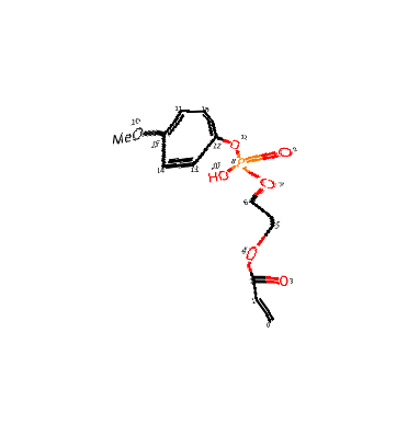 C=CC(=O)OCCOP(=O)(O)Oc1ccc(OC)cc1